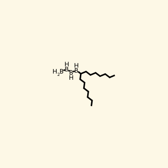 BBBBC(CCCCCCC)CCCCCCC